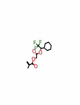 C=C(C)C(=O)OCC(=O)OC(C1CCCCC1)C(F)(F)F